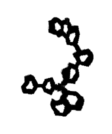 c1ccc(-c2ccc(N(c3ccc(-c4cccc(-c5ccc6oc7ccccc7c6c5)c4)cc3)c3cccc4ccccc34)cc2)cc1